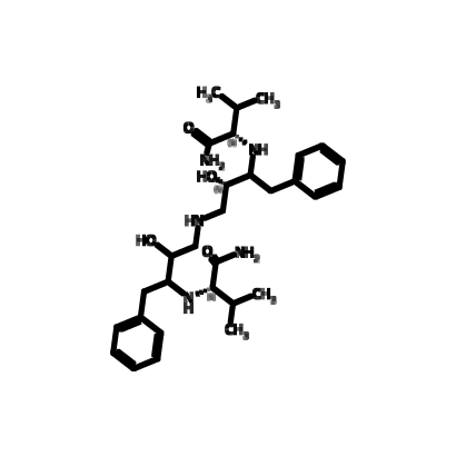 CC(C)[C@H](NC(Cc1ccccc1)C(O)CNC[C@H](O)C(Cc1ccccc1)N[C@H](C(N)=O)C(C)C)C(N)=O